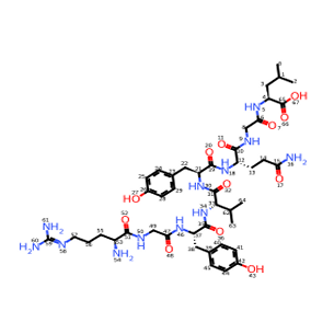 CC(C)C[C@H](NC(=O)CNC(=O)[C@H](CCC(N)=O)NC(=O)[C@H](Cc1ccc(O)cc1)NC(=O)[C@@H](NC(=O)[C@H](Cc1ccc(O)cc1)NC(=O)CNC(=O)[C@@H](N)CCCN=C(N)N)C(C)C)C(=O)O